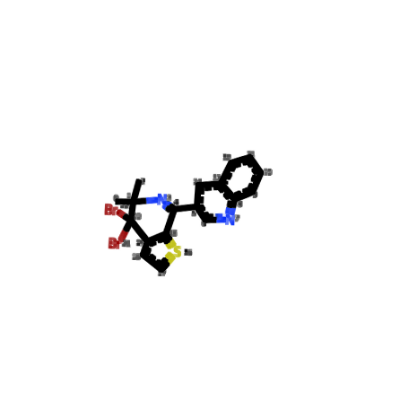 CC1(C)N=C(c2cnc3ccccc3c2)c2sccc2C1(Br)Br